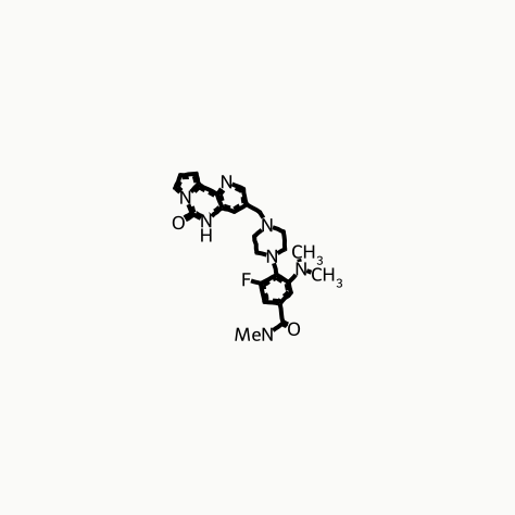 CNC(=O)c1cc(F)c(N2CCN(Cc3cnc4c(c3)[nH]c(=O)n3cccc43)CC2)c(N(C)C)c1